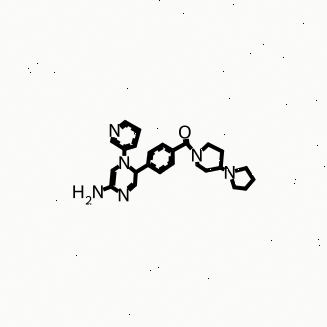 NC1=CN(c2cccnc2)C(c2ccc(C(=O)N3CCC(N4CCCC4)CC3)cc2)C=N1